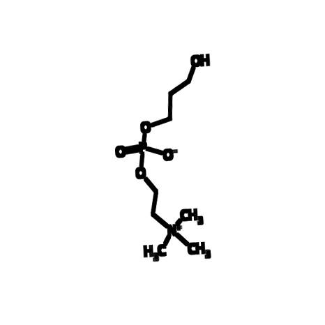 C[N+](C)(C)CCOP(=O)([O-])OCCCO